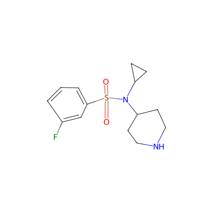 O=S(=O)(c1cccc(F)c1)N(C1CCNCC1)C1CC1